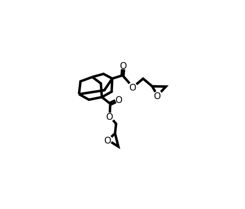 O=C(OCC1CO1)C12CC3CC(C1)CC(C(=O)OCC1CO1)(C3)C2